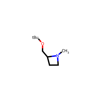 CN1CCC1COC(C)(C)C